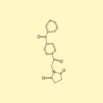 O=C(CN1C(=O)CCC1=O)c1ccc(C(=O)c2ccccc2)cc1